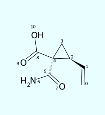 C=C[C@@H]1C[C@]1(C(N)=O)C(=O)O